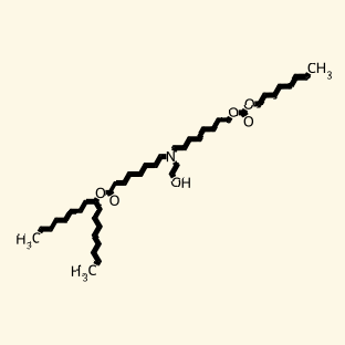 CCCCCCCCOC(=O)OCCCCCCCCN(CCO)CCCCCCCC(=O)OC(CCCCCCCC)CCCCCCCC